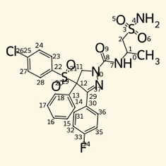 CC(CS(N)(=O)=O)NC(=O)N1CC(c2ccccc2)(S(=O)(=O)c2ccc(Cl)cc2)C(c2ccc(F)cc2)=N1